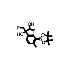 Cc1ccc(C(O)(CF)C(O)F)cc1B1OC(C)(C)C(C)(C)O1